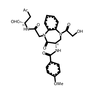 COc1ccc(C(=O)N[C@H]2CN(C(=O)CO)c3ccccc3N(CC(=O)N[C@H](C=O)CC(C)=O)C2=O)cc1